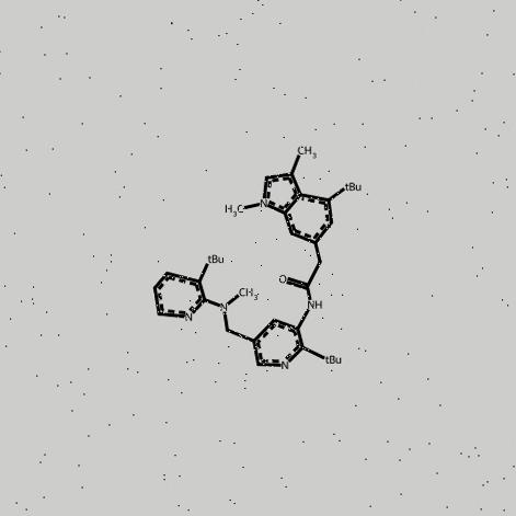 Cc1cn(C)c2cc(CC(=O)Nc3cc(CN(C)c4ncccc4C(C)(C)C)cnc3C(C)(C)C)cc(C(C)(C)C)c12